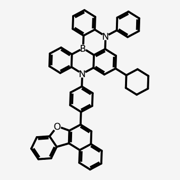 c1ccc(N2c3ccccc3B3c4ccccc4N(c4ccc(-c5cc6ccccc6c6c5oc5ccccc56)cc4)c4cc(C5CCCCC5)cc2c43)cc1